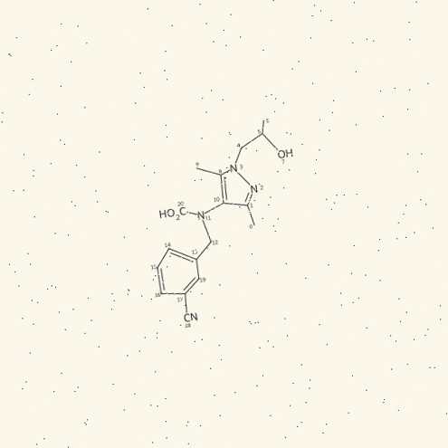 Cc1nn(CC(C)O)c(C)c1N(Cc1cccc(C#N)c1)C(=O)O